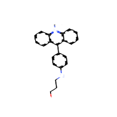 C[n+]1c2ccccc2c(-c2ccc(NCCCO)cc2)c2ccccc21